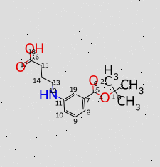 CC(C)(C)OC(=O)c1cccc(NCCCC(=O)O)c1